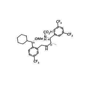 CO[C@H](c1ccc(C(F)(F)F)cc1CN[C@@H](C)[C@H](NC(=O)O)c1cc(C(F)(F)F)cc(C(F)(F)F)c1)C1CCCCC1